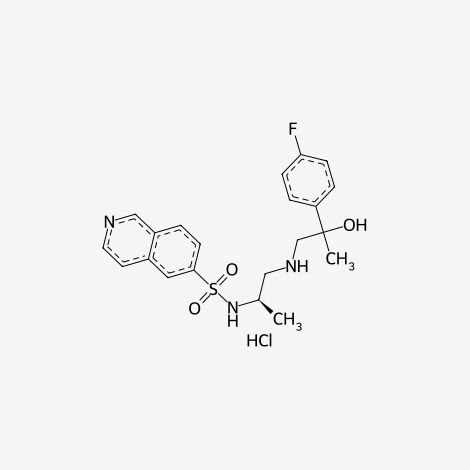 C[C@H](CNCC(C)(O)c1ccc(F)cc1)NS(=O)(=O)c1ccc2cnccc2c1.Cl